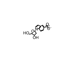 O=[N+]([O-])c1ccc2c(ccn2C2CC(O)C(CO)O2)c1